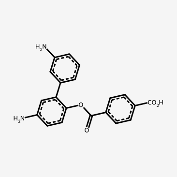 Nc1cccc(-c2cc(N)ccc2OC(=O)c2ccc(C(=O)O)cc2)c1